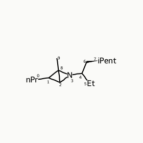 CCCC1C2N(C(CC)C[C@H](C)CCC)C12C